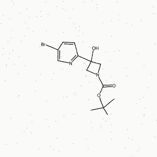 CC(C)(C)OC(=O)N1CC(O)(c2ccc(Br)cn2)C1